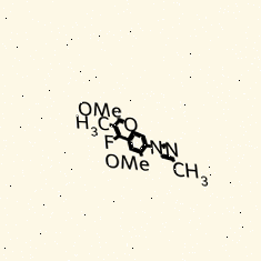 COC(=O)/C(C)=C(/F)c1ccc(-n2cnc(C)c2)c(OC)c1